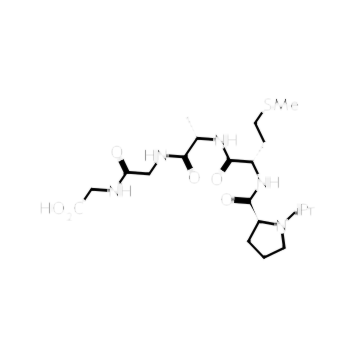 CSCC[C@H](NC(=O)[C@@H]1CCCN1C(C)C)C(=O)N[C@@H](C)C(=O)NCC(=O)NCC(=O)O